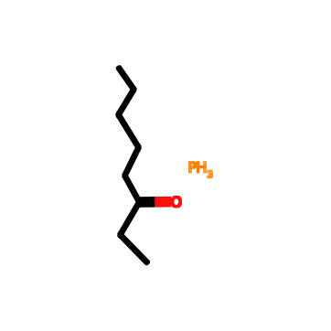 CCCCCC(=O)CC.P